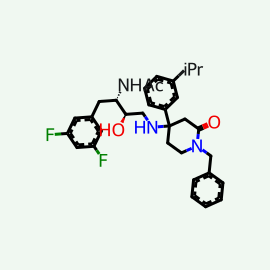 CC(=O)N[C@@H](Cc1cc(F)cc(F)c1)[C@H](O)CNC1(c2cccc(C(C)C)c2)CCN(Cc2ccccc2)C(=O)C1